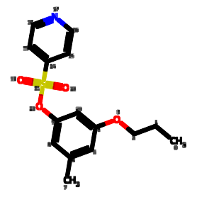 CCCOc1cc(C)cc(OS(=O)(=O)c2ccncc2)c1